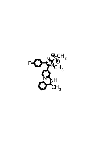 CC(Nc1cc(-c2c(-c3ccc(F)cc3)nc(S(C)(=O)=O)n2C)ccn1)c1ccccc1